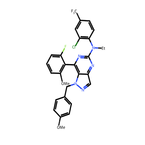 CCN(c1nc(-c2c(F)cccc2OC)c2c(cnn2Cc2ccc(OC)cc2)n1)c1ccc(C(F)(F)F)cc1Cl